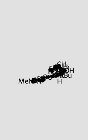 CNc1ccc(-c2nc3ccc(OCCOCCOCC(=O)NC(C(=O)N4C[C@H](O)C[C@H]4C(=O)NC(C)c4ccc(-c5scnc5C)cc4)C(C)(C)C)cc3s2)cc1